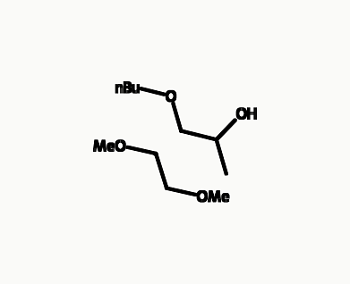 CCCCOCC(C)O.COCCOC